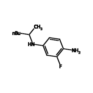 CCCCC(C)Nc1ccc(N)c(F)c1